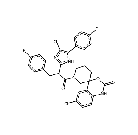 O=C1Nc2ccc(Cl)cc2[C@@]2(CCCN(C(=O)C(Cc3ccc(F)cc3)c3nc(Cl)c(-c4ccc(F)cc4)[nH]3)C2)O1